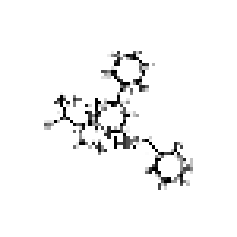 CC(N)c1cnn2c(NCc3cccnc3)cc(-c3ccccc3)nc12